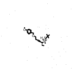 CC[C@@H](C#CCCOCc1ccc(OC)cc1)[Si](C)(C)O[SiH2]C(C)(C)C